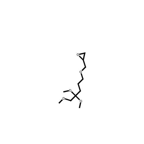 CO[CH]C(CCCOCC1CO1)(OC)OC